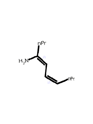 CCC/C=C\C=C(/N)CCC